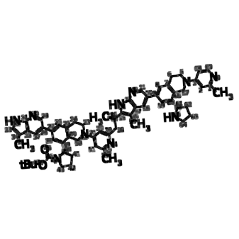 Cc1cc(N2CCc3cc(-c4cnc5[nH]c([C@H](C)Cc6cc(N7CCc8cc(-c9cnc%10[nH]cc(C)c%10c9)cc([C@@H]9CCCN9C(=O)OC(C)(C)C)c8C7)cc(C)n6)c(C)c5c4)cc([C@@H]4CCCN4)c3C2)ccn1